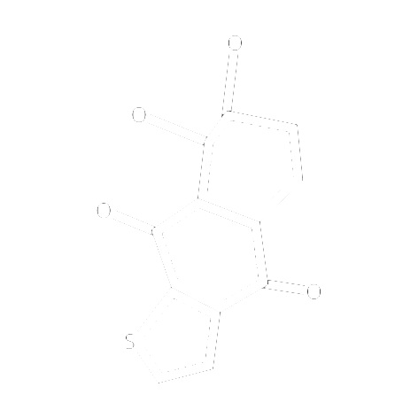 O=c1ccc2c(=O)c3ccsc3c(=O)c=2c1=O